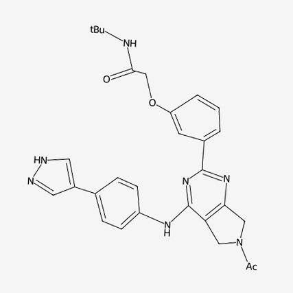 CC(=O)N1Cc2nc(-c3cccc(OCC(=O)NC(C)(C)C)c3)nc(Nc3ccc(-c4cn[nH]c4)cc3)c2C1